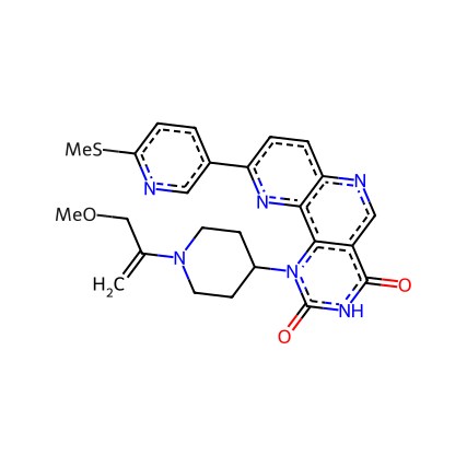 C=C(COC)N1CCC(n2c(=O)[nH]c(=O)c3cnc4ccc(-c5ccc(SC)nc5)nc4c32)CC1